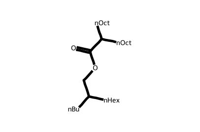 CCCCCCCCC(CCCCCCCC)C(=O)OCC(CCCC)CCCCCC